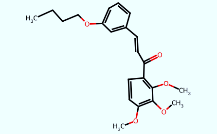 CCCCOc1cccc(/C=C/C(=O)c2ccc(OC)c(OC)c2OC)c1